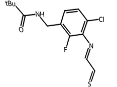 CC(C)(C)C(=O)NCc1ccc(Cl)c(N=CC=S)c1F